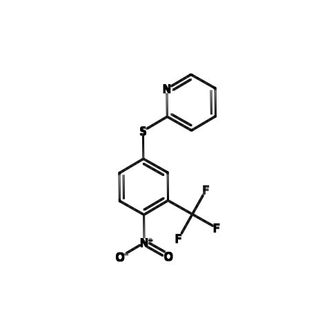 O=[N+]([O-])c1ccc(Sc2ccccn2)cc1C(F)(F)F